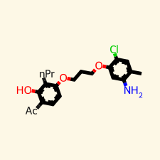 CCCc1c(OCCCOc2cc(N)c(C)cc2Cl)ccc(C(C)=O)c1O